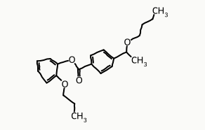 CCCCOC(C)c1ccc(C(=O)Oc2ccccc2OCCC)cc1